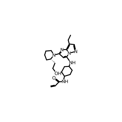 C=CC(=O)NC1CCC(Nc2cc(N3CCCC[C@H]3CCO)nc3c(CC)cnn23)CC1